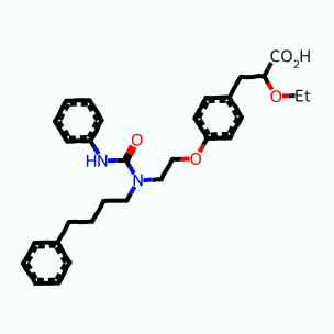 CCOC(Cc1ccc(OCCN(CCCCc2ccccc2)C(=O)Nc2ccccc2)cc1)C(=O)O